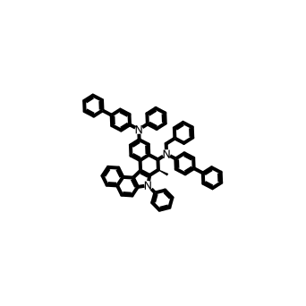 C[C@H]1c2c(c3c4ccccc4ccc3n2-c2ccccc2)-c2ccc(N(c3ccccc3)c3ccc(-c4ccccc4)cc3)cc2C1N(CC1C=CC=CC1)c1ccc(-c2ccccc2)cc1